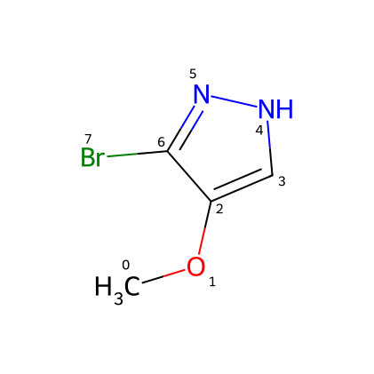 COc1c[nH]nc1Br